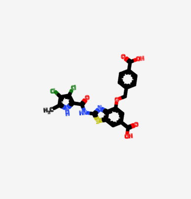 Cc1[nH]c(C(=O)Nc2nc3c(OCc4ccc(C(=O)O)cc4)cc(C(=O)O)cc3s2)c(Cl)c1Cl